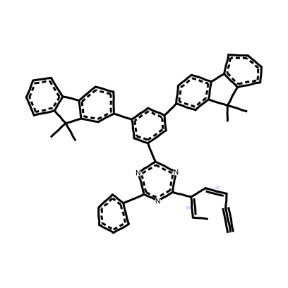 C#C/C=C\C(=C/C)c1nc(-c2ccccc2)nc(-c2cc(-c3ccc4c(c3)C(C)(C)c3ccccc3-4)cc(-c3ccc4c(c3)C(C)(C)c3ccccc3-4)c2)n1